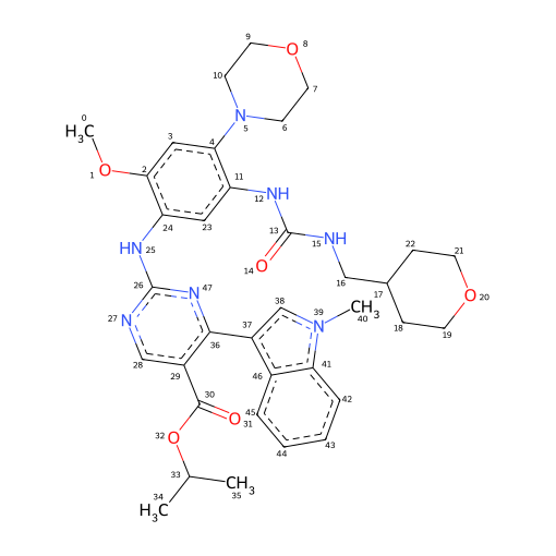 COc1cc(N2CCOCC2)c(NC(=O)NCC2CCOCC2)cc1Nc1ncc(C(=O)OC(C)C)c(-c2cn(C)c3ccccc23)n1